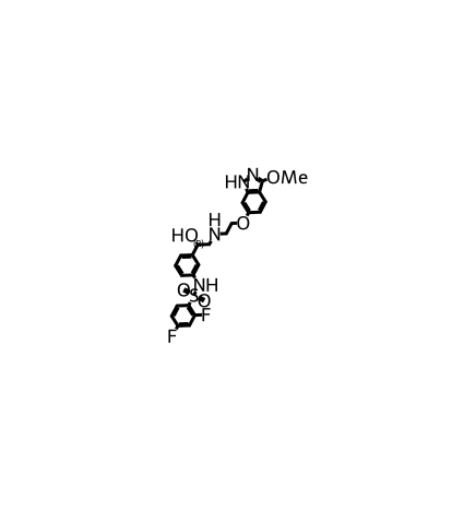 COc1n[nH]c2cc(OCCNC[C@H](O)c3cccc(NS(=O)(=O)c4ccc(F)cc4F)c3)ccc12